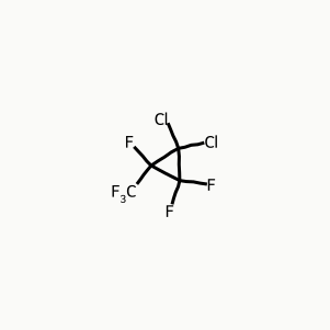 FC(F)(F)C1(F)C(F)(F)C1(Cl)Cl